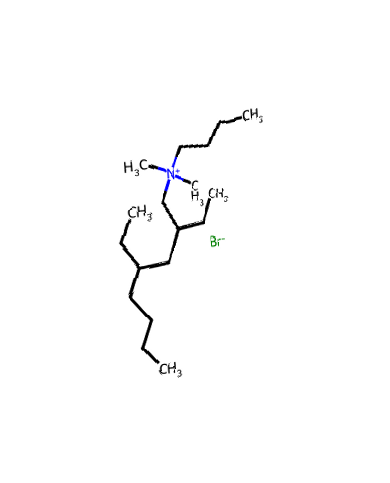 CCCCC(CC)CC(CC)C[N+](C)(C)CCCC.[Br-]